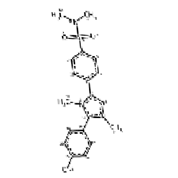 Cc1cc(-c2ccc(S(=O)(=O)N(C)C)cc2)n(C)c1-c1ccc(Cl)cc1